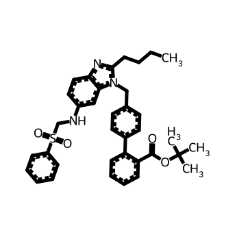 CCCCc1nc2ccc(NCS(=O)(=O)c3ccccc3)cc2n1Cc1ccc(-c2ccccc2C(=O)OC(C)(C)C)cc1